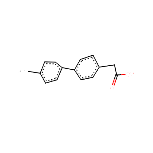 Cc1ccc(-c2ccc(CC(=O)O)cc2)cc1